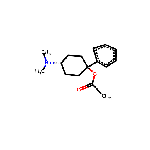 CC(=O)O[C@]1(c2ccccc2)CC[C@@H](N(C)C)CC1